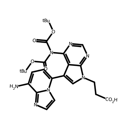 CC(C)(C)OC(=O)N(C(=O)OC(C)(C)C)c1ncnc2c1c(-c1ccc(N)c3nccn13)cn2CCC(=O)O